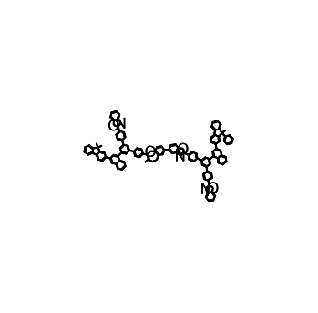 CC1=C(c2ccc(-c3cc(-c4ccc(-c5nc6ccccc6o5)cc4)cc(-c4cc(-c5ccc6c(c5)C(C)(C)c5ccccc5-6)cc5ccccc45)c3)cc2)Oc2ccc(-c3ccc4oc(-c5ccc(-c6cc(-c7ccc(-c8nc9ccccc9o8)cc7)cc(-c7cc(-c8ccc9c(c8)C(C)(c8ccccc8)c8ccccc8-9)cc8ccccc78)c6)cc5)nc4c3)cc2CC1